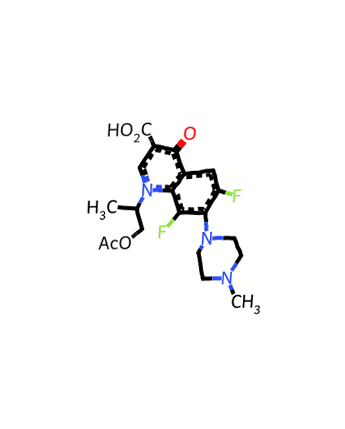 CC(=O)OCC(C)n1cc(C(=O)O)c(=O)c2cc(F)c(N3CCN(C)CC3)c(F)c21